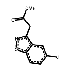 COC(=O)Cc1noc2ccc(Cl)cc12